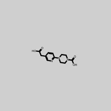 O=C(O)Cc1ccc(N2CCN(C(=O)O)CC2)nc1